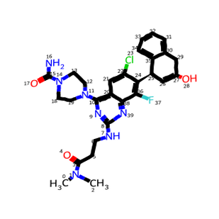 CN(C)C(=O)CCNc1nc(N2CCN(C(N)=O)CC2)c2cc(Cl)c([C@@H]3C=C(O)Cc4ccccc43)c(F)c2n1